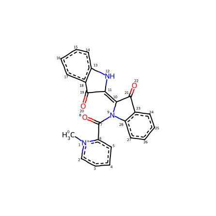 C[n+]1ccccc1C(=O)N1/C(=C2/Nc3ccccc3C2=O)C(=O)c2ccccc21